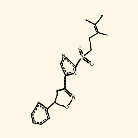 O=S(=O)(CCC(F)=C(F)F)c1ncc(C2=NOC(c3ccccc3)C2)s1